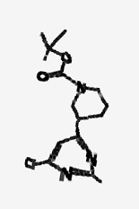 Cc1nc(Cl)cc(C2CCCN(C(=O)OC(C)(C)C)C2)n1